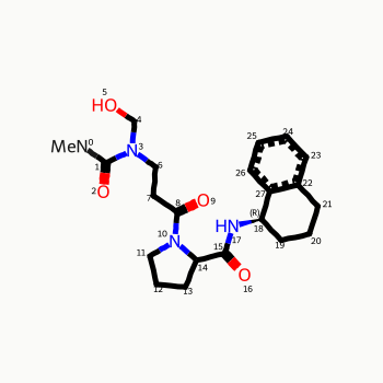 CNC(=O)N(CO)CCC(=O)N1CCCC1C(=O)N[C@@H]1CCCc2ccccc21